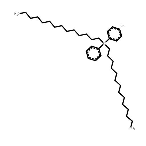 CCCCCCCCCCCCCC[N+](CCCCCCCCCCCCCC)(c1ccccc1)c1ccccc1.[Br-]